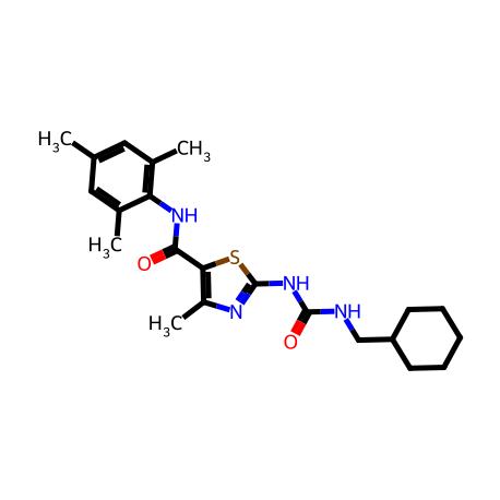 Cc1cc(C)c(NC(=O)c2sc(NC(=O)NCC3CCCCC3)nc2C)c(C)c1